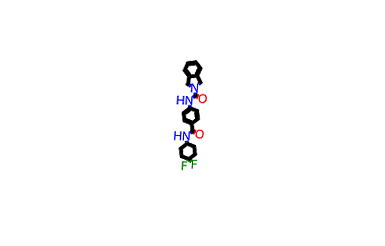 O=C(NC1CCC(F)(F)CC1)c1ccc(NC(=O)N2Cc3ccccc3C2)cc1